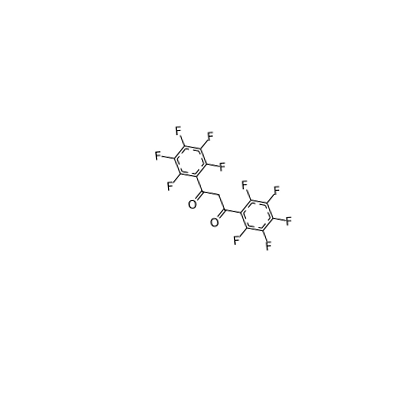 O=C(CC(=O)c1c(F)c(F)c(F)c(F)c1F)c1c(F)c(F)c(F)c(F)c1F